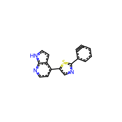 c1cccc(-c2ncc(-c3ccnc4[nH]ccc34)s2)c#1